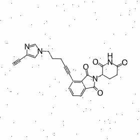 C#Cc1cn(CCCC#Cc2cccc3c2C(=O)N(C2CCC(=O)NC2=O)C3=O)cn1